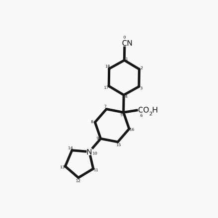 N#CC1CCC(C2(C(=O)O)CCC(N3CCCC3)CC2)CC1